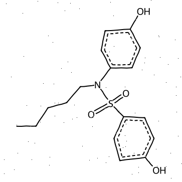 CCCCCN(c1ccc(O)cc1)S(=O)(=O)c1ccc(O)cc1